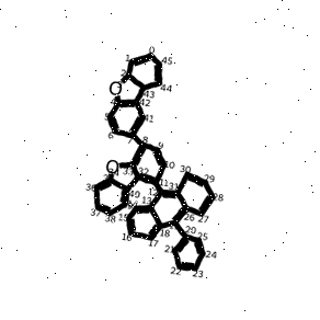 C1=CC2Oc3ccc(-c4ccc(-c5c6ccccc6c(-c6ccccc6)c6ccccc56)c5c4oc4ccccc45)cc3C2C=C1